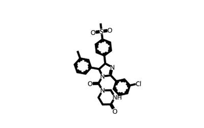 Cc1cccc(C2C(c3ccc(S(C)(=O)=O)cc3)N=C(c3cccc(Cl)c3)N2C(=O)N2CCC(=O)NC2)c1